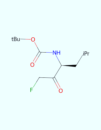 CC(C)C[C@H](NC(=O)OC(C)(C)C)C(=O)CF